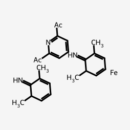 CC(=O)c1cccc(C(C)=O)n1.CC1=CC=CC(C)C1=N.CC1=CC=CC(C)C1=N.[Fe]